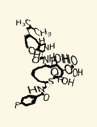 CC(C)C[C@@H]1CCO[C@@H]2[C@H](CN[C@@H]2C(=O)N[C@@H]2C/C=C\C[C@H](CNC(=O)c3ccc(F)cc3)S[C@H]3O[C@H]2[C@H](O)[C@H](O)[C@H]3O)C1.O=CO